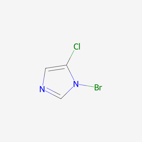 Clc1cncn1Br